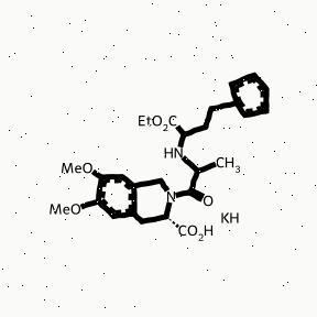 CCOC(=O)C(CCc1ccccc1)NC(C)C(=O)N1Cc2cc(OC)c(OC)cc2C[C@H]1C(=O)O.[KH]